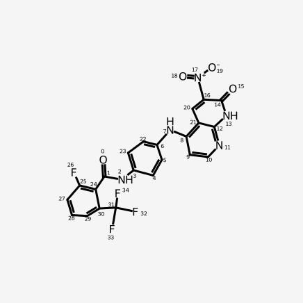 O=C(Nc1ccc(Nc2ccnc3[nH]c(=O)c([N+](=O)[O-])cc23)cc1)c1c(F)cccc1C(F)(F)F